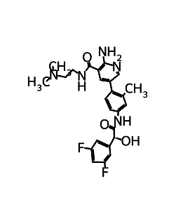 Cc1cc(NC(=O)[C@@H](O)c2cc(F)cc(F)c2)ccc1-c1cnc(N)c(C(=O)NCCN(C)C)c1